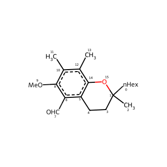 CCCCCCC1(C)CCc2c(C=O)c(OC)c(C)c(C)c2O1